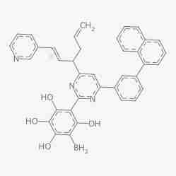 Bc1c(O)c(O)c(O)c(-c2nc(-c3cccc(-c4cccc5ccccc45)c3)cc(C(/C=C/c3cccnc3)CC=C)n2)c1O